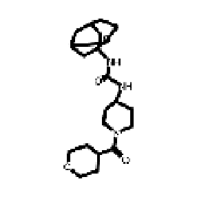 O=C(NC1CCN(C(=O)C2CCOCC2)CC1)NC12CC3CC(CC(C3)O1)C2